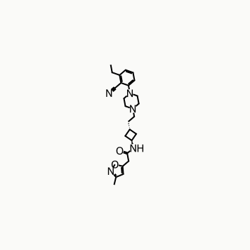 CCc1cccc(N2CCN(CC[C@H]3C[C@H](NC(=O)Cc4cc(C)no4)C3)CC2)c1C#N